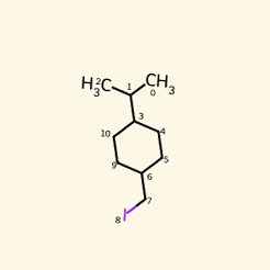 CC(C)C1CCC(CI)CC1